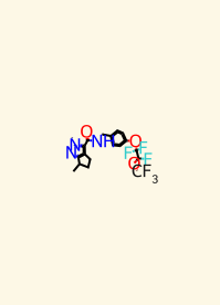 CC1CCc2c1nn(C)c2C(=O)NCc1ccc(OC(F)(F)C(F)OC(F)(F)F)cc1